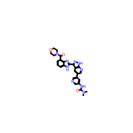 CN(C)C(=O)Nc1cncc(-c2cnc3[nH]nc(-c4nc5c(C(=O)N6CCOCC6)cccc5[nH]4)c3c2)c1